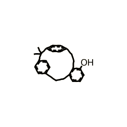 CC1(C)c2ccc(cc2)CCc2cccc(O)c2CCc2ccc1cc2